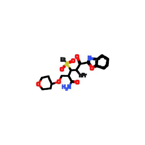 CCCC(C(=O)c1nc2ccccc2o1)C(C(COC1CCOCC1)C(N)=O)S(=O)(=O)CC